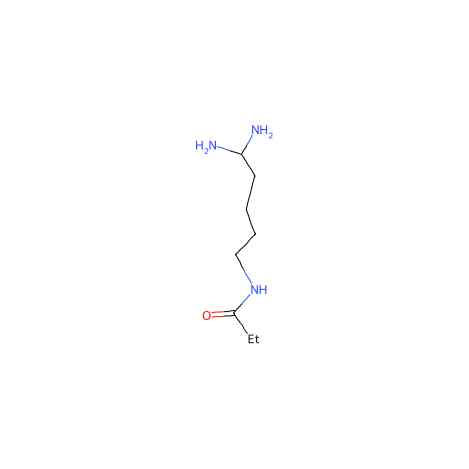 CCC(=O)NCCCCC(N)N